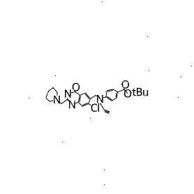 C#CCN(Cc1cc2c(=O)n(C)c(CN3CCCCC3)nc2cc1Cl)c1ccc(C(=O)OC(C)(C)C)cc1